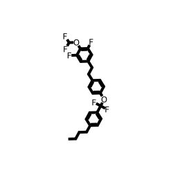 CCCCc1ccc(C(F)(F)Oc2ccc(CCc3cc(F)c(OC(F)F)c(F)c3)cc2)cc1